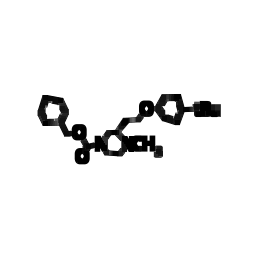 CN1CCN(C(=O)OCc2ccccc2)C[C@H]1CCOc1ccc(C(C)(C)C)cc1